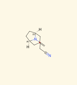 C=C1C[C@H]2CC[C@@H](C1)N2CCC#N